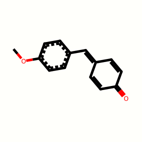 COc1ccc(C=C2C=CC(=O)C=C2)cc1